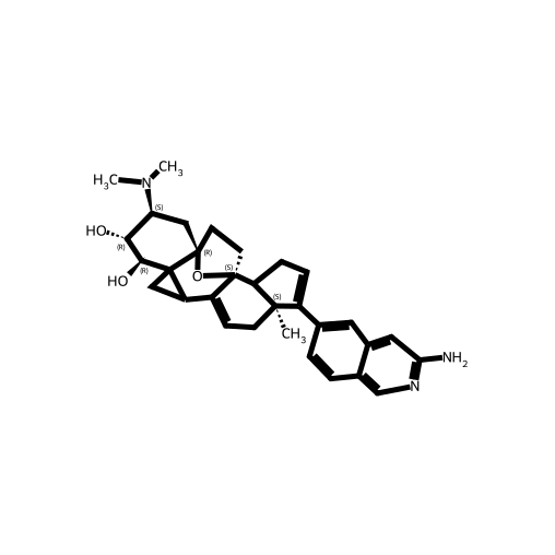 CN(C)[C@H]1C[C@@]23CC[C@@]4(O2)C(=CC[C@]2(C)C(c5ccc6cnc(N)cc6c5)=CCC24)C2CC23[C@@H](O)[C@@H]1O